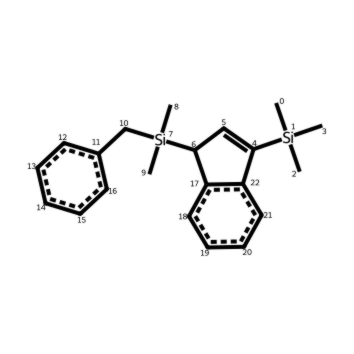 C[Si](C)(C)C1=CC([Si](C)(C)Cc2ccccc2)c2ccccc21